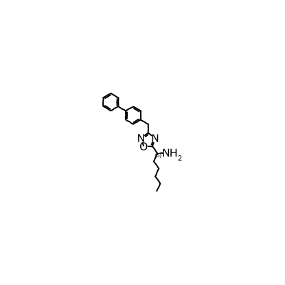 CCCCC[C@H](N)c1nc(Cc2ccc(-c3ccccc3)cc2)no1